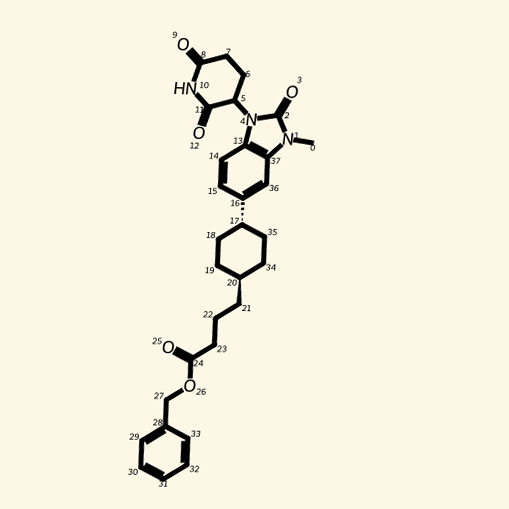 Cn1c(=O)n(C2CCC(=O)NC2=O)c2ccc([C@H]3CC[C@H](CCCC(=O)OCc4ccccc4)CC3)cc21